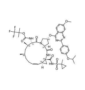 COc1ccc2c(O[C@@H]3C[C@H]4C(=O)N[C@]5(C(=O)NS(=O)(=O)C6(C)CC6)C[C@H]5C=CCC[C@@H](C)C[C@@H](C)[C@H](NC(=O)OC(C)(C)C(F)(F)F)C(=O)N4C3)nc(-c3ccc(OC(C)C)cc3)nc2c1